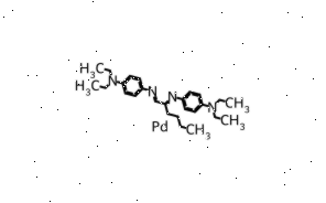 CCCCC(C=Nc1ccc(N(CC)CC)cc1)=Nc1ccc(N(CC)CC)cc1.[Pd]